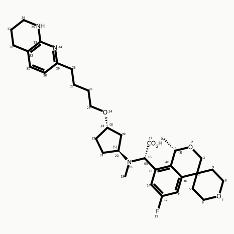 C[C@@H]1OCC2(CCOCC2)c2cc(F)cc([C@@H](C(=O)O)N(C)[C@H]3CC[C@H](OCCCCc4ccc5c(n4)NCCC5)C3)c21